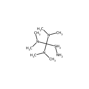 CN(C)C([SiH2]N)(N(C)C)N(C)C